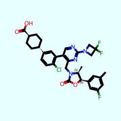 Cc1cc(F)cc([C@H]2OC(=O)N(Cc3nc(N4CC(F)(F)C4)ncc3-c3cc([C@H]4CC[C@H](C(=O)O)CC4)ccc3Cl)[C@H]2C)c1